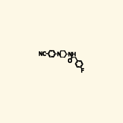 N#Cc1ccc(N2CCC(NC(=O)Cc3ccc(F)cc3)CC2)cc1